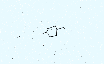 CCOC(=O)C1CCC(COC(C)=O)CC1